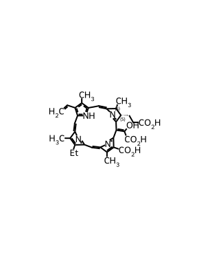 C=Cc1c2[nH]c(c1C)C=C1N=C(C(=C(O)C(=O)O)C3=NC(=CC4=NC(=C2)C(C)=C4CC)C(C)=C3C(=O)O)[C@@H](CCC(=O)O)[C@@H]1C